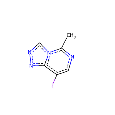 Cc1ncc(I)c2nncn12